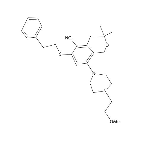 COCCN1CCN(c2nc(SCCc3ccccc3)c(C#N)c3c2COC(C)(C)C3)CC1